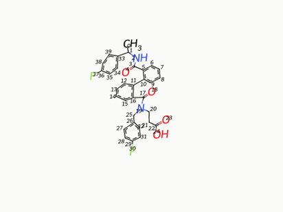 CC(NC(=O)c1ccccc1-c1ccccc1C(=O)N(CCC(=O)O)Cc1ccc(F)cc1)c1ccc(F)cc1